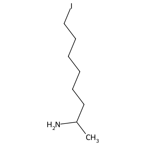 CC(N)CCCCCCI